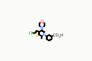 CC1c2sc(Cl)cc2C(N2CCOCC2)=CN1c1cccc(C(=O)O)c1